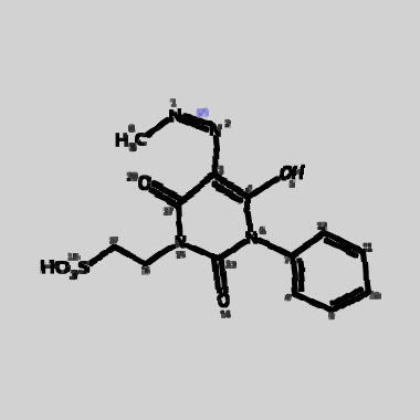 C/N=N\c1c(O)n(-c2ccccc2)c(=O)n(CCS(=O)(=O)O)c1=O